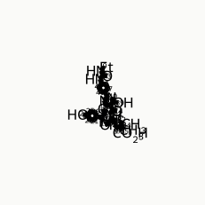 CCNC(=O)Nc1ccc(-c2ncc(C(=O)N(C(=O)C(N)c3ccc(O)cc3)[C@@H]3C(=O)N4[C@@H]3SC(C)(C)[C@@H]4C(=O)O)c(O)n2)cc1